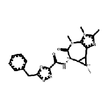 Cc1nc2c(n1C)N(C)C(=O)[C@@H](NC(=O)c1nnc(Cc3ccccc3)o1)C1C2[C@@H]1C